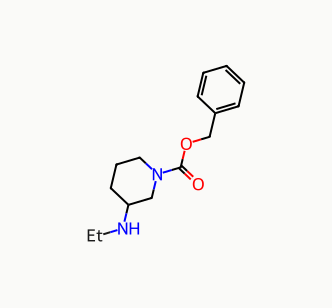 CCNC1CCCN(C(=O)OCc2ccccc2)C1